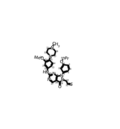 CCCOc1cccc(-n2c3nc(Nc4ccc(N5CCN(C)CC5)c(OC)c4)ncc3c(=O)n2CC=S)c1